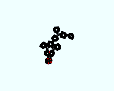 c1ccc(-c2ccc(N(c3ccccc3)c3ccc(-c4cc5c6ccccc6n(-c6ccc(-c7ccccc7)cc6)c5c5c4c4ccccc4n5-c4ccc(-c5ccccc5)cc4)cc3)cc2)cc1